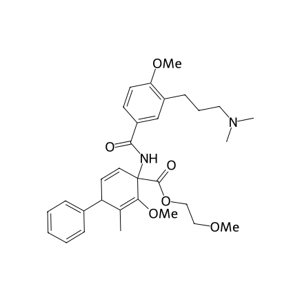 COCCOC(=O)C1(NC(=O)c2ccc(OC)c(CCCN(C)C)c2)C=CC(c2ccccc2)C(C)=C1OC